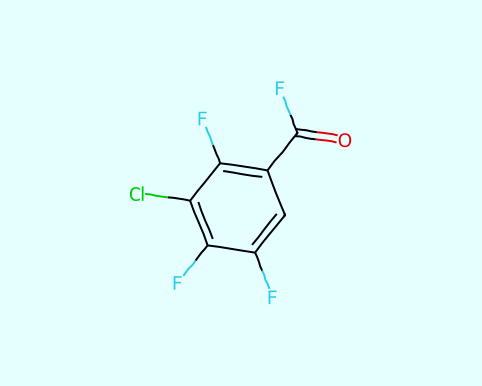 O=C(F)c1cc(F)c(F)c(Cl)c1F